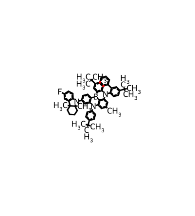 Cc1cc2c3c(c1)N(c1ccc(C(C)(C)C)cc1-c1ccccc1)c1ccc(C(C)(C)C)cc1B3c1ccc(N3c4ccc(F)cc4C4(C)CCCCC34C)cc1N2c1ccc(C(C)(C)C)cc1